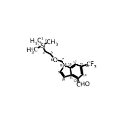 C[Si](C)(C)CCOCn1ccc2c(C=O)cc(C(F)(F)F)cc21